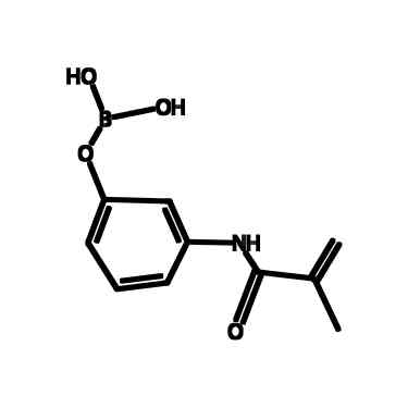 C=C(C)C(=O)Nc1cccc(OB(O)O)c1